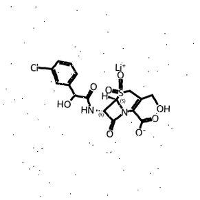 O=C([O-])C1=C(CO)CS(=O)(=O)[C@H]2[C@@H](NC(=O)C(O)c3cccc(Cl)c3)C(=O)N12.[Li+]